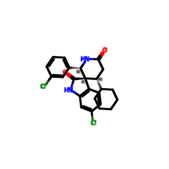 O=C1C[C@H](C2CCCCC2)[C@@]2(C(=O)Nc3cc(Cl)ccc32)[C@H](c2cccc(Cl)c2)N1